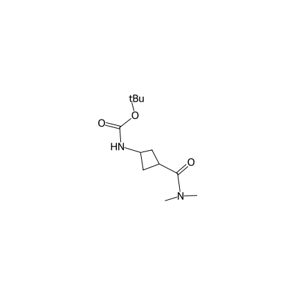 CN(C)C(=O)C1CC(NC(=O)OC(C)(C)C)C1